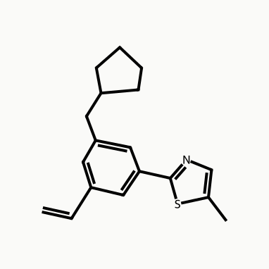 C=Cc1cc(CC2CCCC2)cc(-c2ncc(C)s2)c1